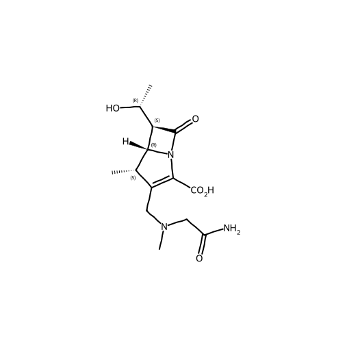 C[C@@H](O)[C@H]1C(=O)N2C(C(=O)O)=C(CN(C)CC(N)=O)[C@H](C)[C@H]12